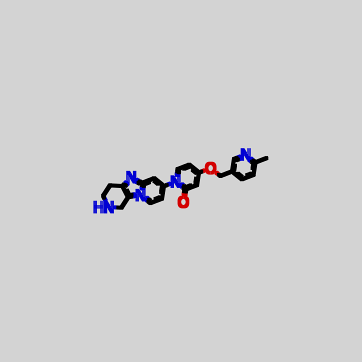 Cc1ccc(COc2ccn(-c3ccn4c5c(nc4c3)CCNC5)c(=O)c2)cn1